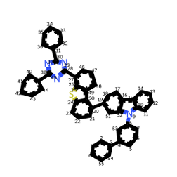 c1ccc(-c2cccc(-n3c4ccccc4c4ccc(-c5cccc6sc7c(-c8nc(-c9ccccc9)nc(-c9ccccc9)n8)cccc7c56)cc43)c2)cc1